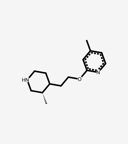 Cc1ccnc(OCCC2CCNC[C@H]2C)c1